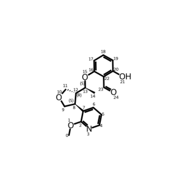 COc1ncccc1[C@H]1COC[C@@H]1[C@H](C)Oc1cccc(O)c1C=O